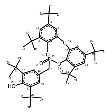 CC(C)(C)c1cc2c(c(C(C)(C)C)c1)OP(=O)(Cc1cc(C(C)(C)C)c(O)c(C(C)(C)C)c1)Oc1c(cc(C(C)(C)C)cc1C(C)(C)C)C2